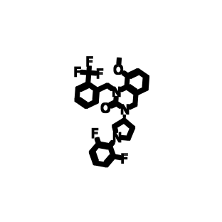 COc1cccc2c1N(Cc1ccccc1C(F)(F)F)C(=O)N([C@@H]1CCN(c3c(F)cccc3F)C1)C2